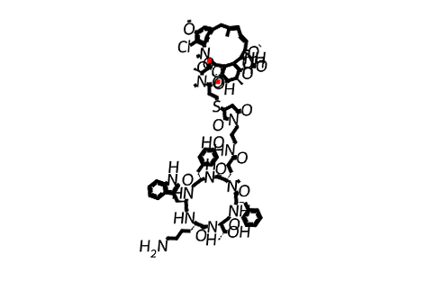 COc1cc2cc(c1Cl)N(C)C(=O)C[C@@]1(OC(=O)[C@H](C)N(C)C(=O)CCSC3CC(=O)N(CCCNC(=O)CC[C@H]4C(=O)N[C@@H](Cc5ccc(O)cc5)C(=O)N[C@H](Cc5c[nH]c6ccccc56)CN[C@@H](CCCCN)C(=O)N[C@@H]([C@@H](C)O)C(=O)N[C@@H](Cc5ccccc5)C(=O)N4C)C3=O)C3[C@H](OC(=O)N[C@@]3(O)[C@H](OC)/C=C/C=C(\C)C2)[C@@H](C)[C@@H]2O[C@]21C